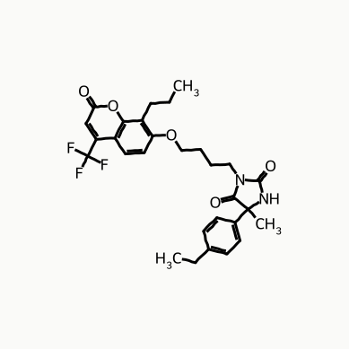 CCCc1c(OCCCCN2C(=O)NC(C)(c3ccc(CC)cc3)C2=O)ccc2c(C(F)(F)F)cc(=O)oc12